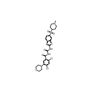 CN1CCC(S(=O)(=O)c2ccc3nc(NC(=O)NC(=O)c4cc(N5CCOCC5)c(Cl)cc4Cl)sc3c2)CC1